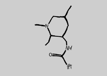 CC1CC(NC(=O)C(C)C)C(C)N(C)C1